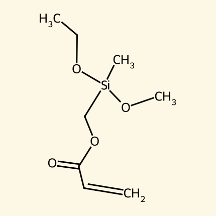 C=CC(=O)OC[Si](C)(OC)OCC